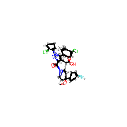 COC1(c2ccc(F)cc2)CCN(C(=O)c2nn(-c3ccccc3Cl)c(-c3ccc(Cl)cc3)c2CC(=O)O)CC1